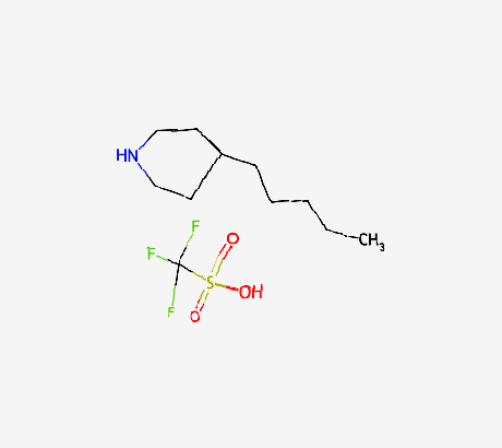 CCCCCC1CCNCC1.O=S(=O)(O)C(F)(F)F